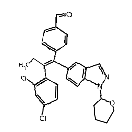 CCC(=C(c1ccc(C=O)cc1)c1ccc2c(cnn2C2CCCCO2)c1)c1ccc(Cl)cc1Cl